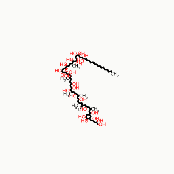 C=C/C=C/CC/C=C/C=C/C=C/CC/C=C/C(O)C(O)C1OC(C(O)C(O)C(=C)CCC(O)C2CC(O)C(O)C(C(O)C(O)/C=C(\C)CCC(O)CC(O)C(O)C(C)CC(O)CC(C)CC(O)CC(C)/C=C(\C)CC(O)CC(C)CC(O)C3CC(O)C(O)C(CC(O)CC(O)CO)C3)O2)CC(O)C1O